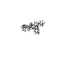 CC1(F)CCN(c2ccc3c(=O)c(C(=O)NC4=C5CCC6CC(C4)CC56)cn(-c4ccc(F)cc4F)c3n2)C1